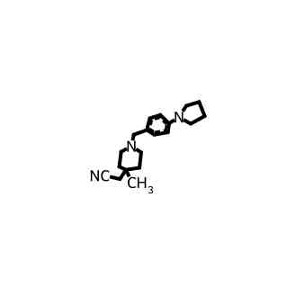 CC1(CC#N)CCN(Cc2ccc(N3CCCC3)cc2)CC1